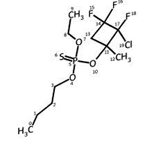 CCCCOP(=S)(OCC)OC1(C)CC(F)(F)C1(F)Cl